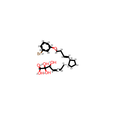 O=C(O)C(O)(O)C(O)C=C=CC[C@H]1CCC[C@@H]1/C=C/CCOc1cccc(Br)c1